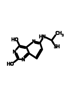 CC(S)Nc1ccc2nc(O)nc(O)c2n1